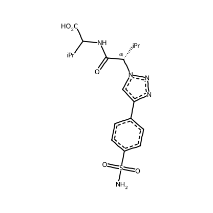 CC(C)C(NC(=O)[C@H](C(C)C)n1cc(-c2ccc(S(N)(=O)=O)cc2)nn1)C(=O)O